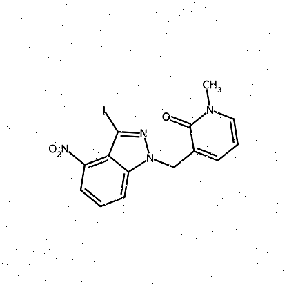 Cn1cccc(Cn2nc(I)c3c([N+](=O)[O-])cccc32)c1=O